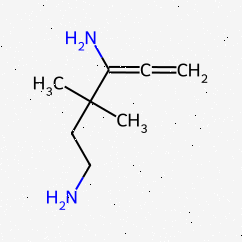 C=C=C(N)C(C)(C)CCN